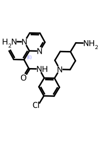 C=C/C(C(=O)Nc1cc(Cl)ccc1N1CCC(CN)CC1)=C1/N=CC=CN1N